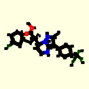 COC(=O)[C@](C)(Cc1cccc(F)c1)c1ccnc2c(-c3ccc(C(F)(F)F)cc3)c(C)nn12